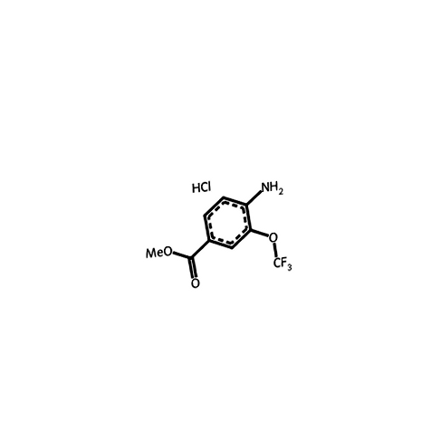 COC(=O)c1ccc(N)c(OC(F)(F)F)c1.Cl